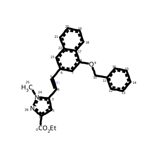 CCOC(=O)c1cc(/C=C/c2cc(OCc3ccccc3)c3ccccc3c2)n(C)n1